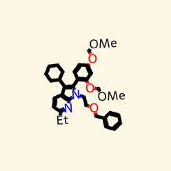 CCc1ccc2c(C3CCCCC3)c(-c3ccc(OCOC)cc3OCOC)n(CCOCc3ccccc3)c2n1